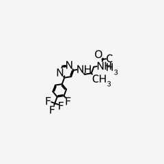 CC(=O)NCC(C)CNc1cc(-c2ccc(C(F)(F)F)c(F)c2)ncn1